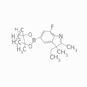 CCC1(C)C(C)=Nc2c(F)cc(B3OC(C)(C)C(C)(C)O3)cc21